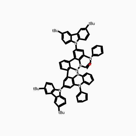 CC(C)(C)c1ccc2c(c1)c1cc(C(C)(C)C)ccc1n2-c1cc2c3c(c1)N(c1ccccc1)c1ccccc1B3N1B3c4ccccc4N(c4ccccc4)c4cc(-n5c6ccc(C(C)(C)C)cc6c6cc(C(C)(C)C)ccc65)cc(c43)-c3cccc-2c31